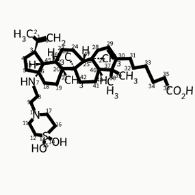 C=C(C)[C@@H]1CC[C@]2(NCCN3CCS(O)(O)CC3)CC[C@]3(C)[C@H](CC[C@@H]4[C@@]5(C)CC=C(CCCCCC(=O)O)C(C)(C)[C@@H]5CC[C@]43C)[C@@H]12